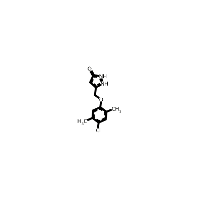 Cc1cc(OCc2cc(=O)[nH][nH]2)c(C)cc1Cl